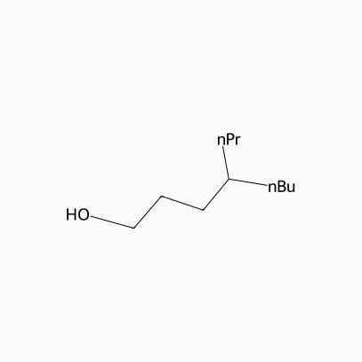 CCCCC(CCC)CCCO